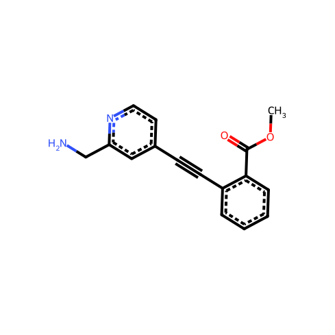 COC(=O)c1ccccc1C#Cc1ccnc(CN)c1